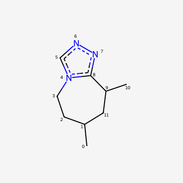 CC1CCn2cnnc2C(C)C1